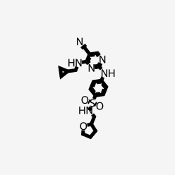 N#Cc1cnc(Nc2ccc(S(=O)(=O)NCC3CCCO3)cc2)nc1NCC1CC1